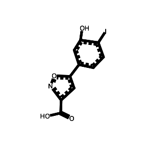 O=C(O)c1cc(-c2ccc(I)c(O)c2)on1